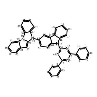 c1ccc(-c2nc(-c3ccccc3)nc(-n3c4ccccc4c4cc(-n5c6ccccc6n6c7ccccc7cc56)ccc43)n2)cc1